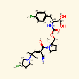 CC(C)(C=C(C#N)C(=O)N1CCC[C@]1(C)COC(=O)N[C@@H](Cc1ccc(F)cc1)B(O)O)N1CC[C@@H](F)C1